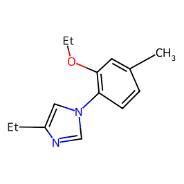 CCOc1cc(C)ccc1-n1cnc(CC)c1